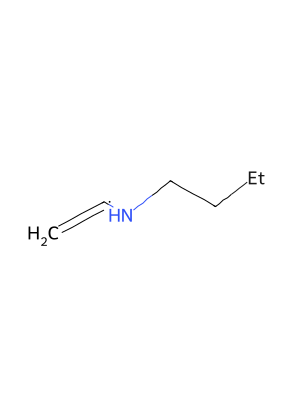 C=[C]NCCCC